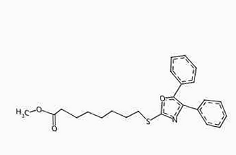 COC(=O)CCCCCCCSc1nc(-c2ccccc2)c(-c2ccccc2)o1